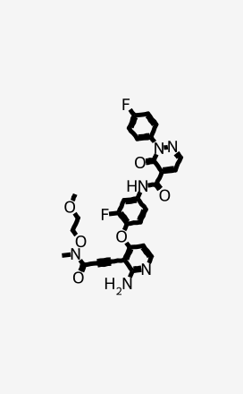 COCCON(C)C(=O)C#Cc1c(Oc2ccc(NC(=O)c3ccnn(-c4ccc(F)cc4)c3=O)cc2F)ccnc1N